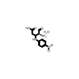 N[C@H](C=O)C(CC(=O)O)Nc1ccc([N+](=O)[O-])cc1.O